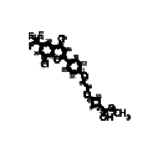 CO[C@H](O)C1CC(OCCOc2ccc(-c3cc(=O)c4cc(C(F)(F)F)cc(Cl)c4o3)cc2)C1